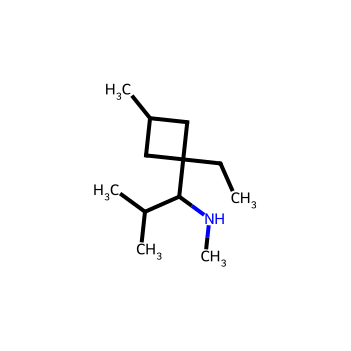 CCC1(C(NC)C(C)C)CC(C)C1